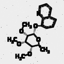 CO[C@@H]1[C@H](OC)[C@H](Oc2cccc3cccnc23)O[C@@H](C)[C@@H]1OC